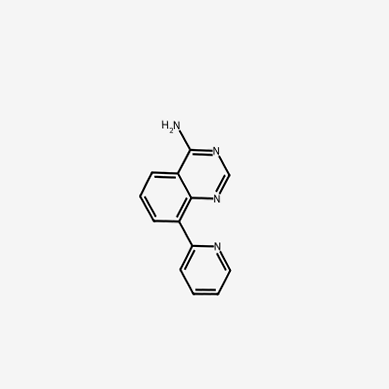 Nc1ncnc2c(-c3ccccn3)cccc12